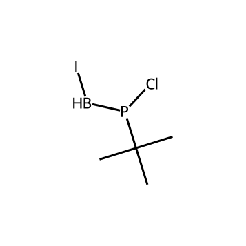 CC(C)(C)P(Cl)BI